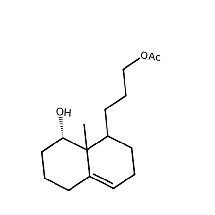 CC(=O)OCCCC1CCC=C2CCC[C@H](O)C21C